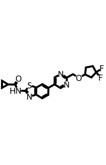 O=C(Nc1nc2ccc(-c3cnc(COC4CCC(F)(F)C4)nc3)cc2s1)C1CC1